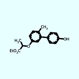 CCOC(=O)C(C)Oc1ccc(C)c(-c2ccc(O)cc2)c1